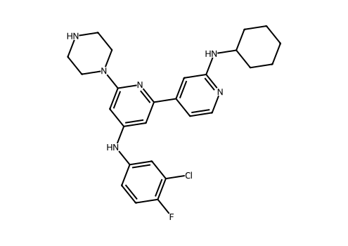 Fc1ccc(Nc2cc(-c3ccnc(NC4CCCCC4)c3)nc(N3CCNCC3)c2)cc1Cl